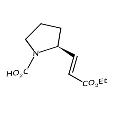 CCOC(=O)/C=C/[C@@H]1CCCN1C(=O)O